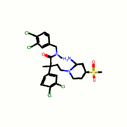 CN(Cc1ccc(Cl)c(Cl)c1)C(=O)C(C)(CCN1CCC(S(C)(=O)=O)CC1N)c1ccc(Cl)c(Cl)c1